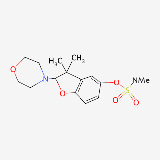 CNS(=O)(=O)Oc1ccc2c(c1)C(C)(C)C(N1CCOCC1)O2